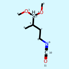 CO[SiH](OC)C(C)CCN=C=O